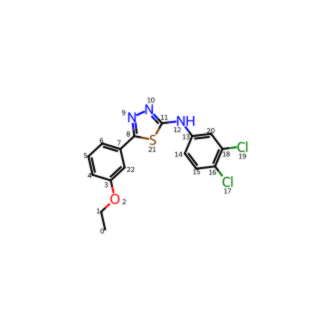 CCOc1cccc(-c2nnc(Nc3ccc(Cl)c(Cl)c3)s2)c1